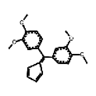 COc1ccc(C(=C2C=CC=C2)c2ccc(OC)c(OC)c2)cc1OC